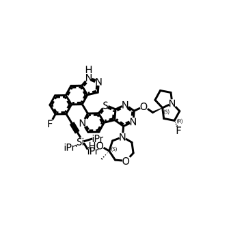 CC(C)[Si](C#Cc1c(F)ccc2cc3[nH]ncc3c(-c3nccc4c3sc3nc(OC[C@@]56CCCN5C[C@H](F)C6)nc(N5CCOC[C@@](C)(O)C5)c34)c12)(C(C)C)C(C)C